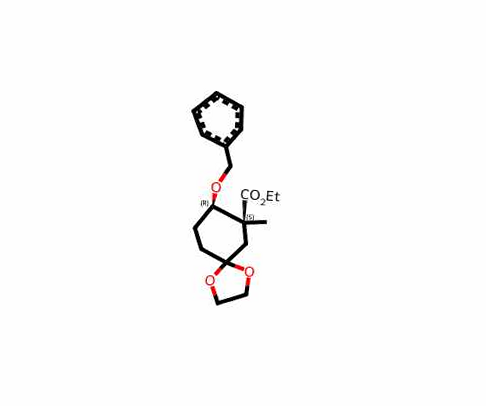 CCOC(=O)[C@@]1(C)CC2(CC[C@H]1OCc1ccccc1)OCCO2